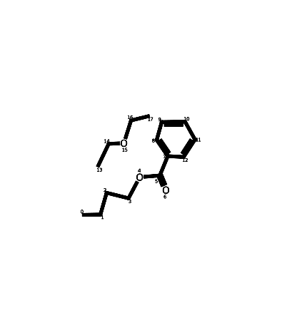 CCCCOC(=O)c1ccccc1.CCOCC